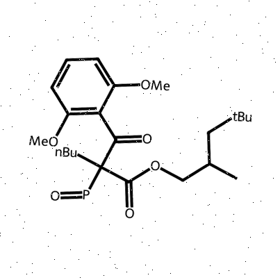 CCCCC(P=O)(C(=O)OCC(C)CC(C)(C)C)C(=O)c1c(OC)cccc1OC